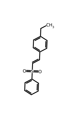 CCc1ccc(C=CS(=O)(=O)c2ccccc2)cc1